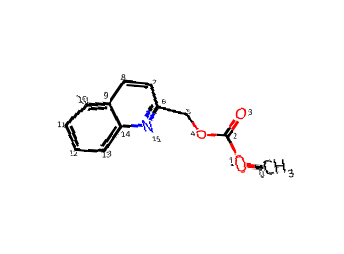 COC(=O)OCc1ccc2ccccc2n1